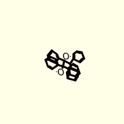 [O]C(c1ccccc1)(c1ccccc1)C([O])(c1ccccc1)C(c1ccccc1)c1ccccc1